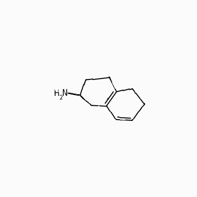 NC1CCC2=C(C=CCC2)C1